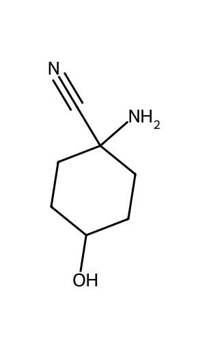 N#CC1(N)CCC(O)CC1